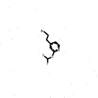 FC(F)Oc1cc(CCBr)ccn1